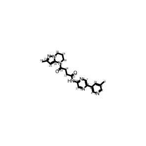 Cc1cncc(-c2cnc(NC(=O)CCC(=O)N3CCCn4nc(C)cc43)cn2)c1